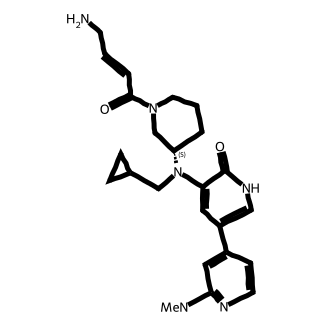 CNc1cc(-c2c[nH]c(=O)c(N(CC3CC3)[C@H]3CCCN(C(=O)C=CCN)C3)c2)ccn1